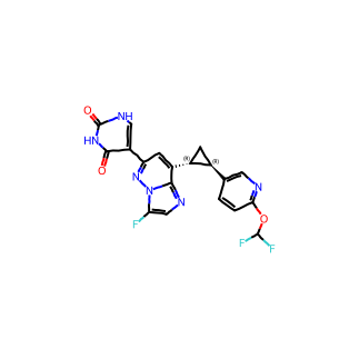 O=c1[nH]cc(-c2cc([C@@H]3C[C@H]3c3ccc(OC(F)F)nc3)c3ncc(F)n3n2)c(=O)[nH]1